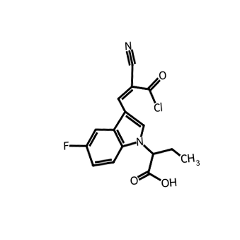 CCC(C(=O)O)n1cc(C=C(C#N)C(=O)Cl)c2cc(F)ccc21